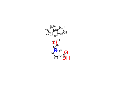 O=C(O)[C@@H]1CCCN(CCOCCc2ccccc2-c2ccccc2)C1